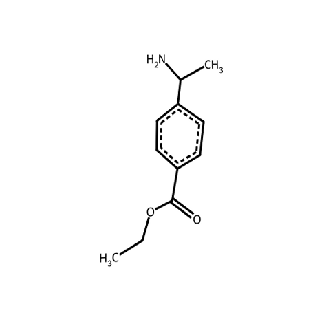 CCOC(=O)c1ccc(C(C)N)cc1